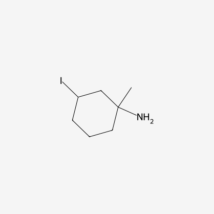 CC1(N)CCCC(I)C1